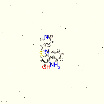 Nc1c(O)cc2sc(Cc3cccnc3)nc2c1-c1ccccc1